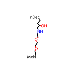 CCCCCCCCCCCCC(O)CNCCOCCOCCNC